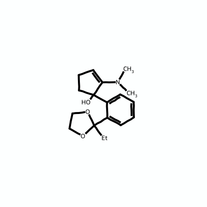 CCC1(c2ccccc2C2(O)CCC=C2N(C)C)OCCO1